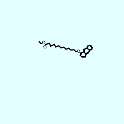 CCOC(=O)CCCCCCCCCCCCOc1cccc2cc3ccccc3cc12